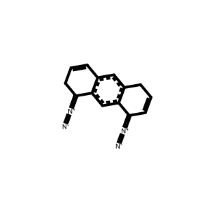 [N-]=[N+]=C1CC=Cc2cc3c(cc21)C(=[N+]=[N-])C=CC3